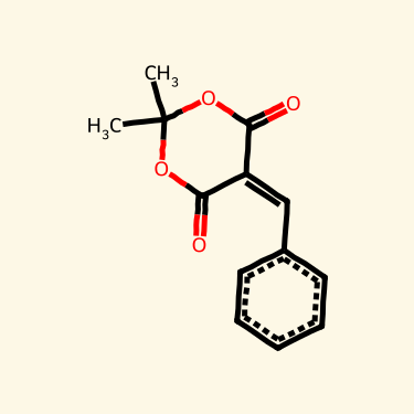 CC1(C)OC(=O)C(=Cc2ccccc2)C(=O)O1